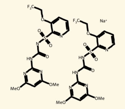 COc1cc(OC)nc(NC(=O)NS(=O)(=O)c2ncccc2OCC(F)(F)F)n1.COc1cc(OC)nc(NC(=O)[N-]S(=O)(=O)c2ncccc2OCC(F)(F)F)n1.[Na+]